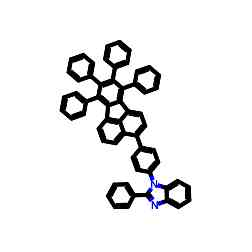 c1ccc(-c2c(-c3ccccc3)c(-c3ccccc3)c3c(c2-c2ccccc2)-c2cccc4c(-c5ccc(-n6c(-c7ccccc7)nc7ccccc76)cc5)ccc-3c24)cc1